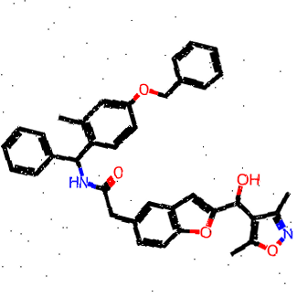 Cc1cc(OCc2ccccc2)ccc1C(NC(=O)Cc1ccc2oc(C(O)c3c(C)noc3C)cc2c1)c1ccccc1